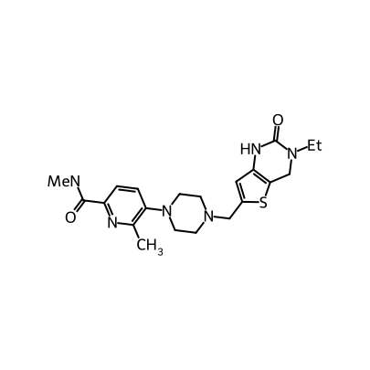 CCN1Cc2sc(CN3CCN(c4ccc(C(=O)NC)nc4C)CC3)cc2NC1=O